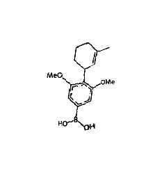 COc1cc(B(O)O)cc(OC)c1C1C=C(C)CCC1